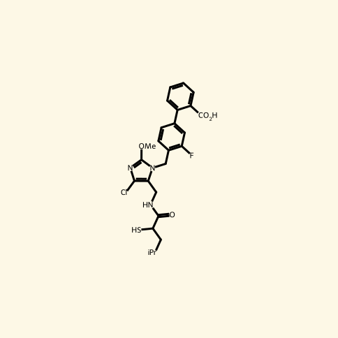 COc1nc(Cl)c(CNC(=O)C(S)CC(C)C)n1Cc1ccc(-c2ccccc2C(=O)O)cc1F